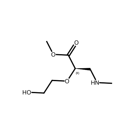 CNC[C@@H](OCCO)C(=O)OC